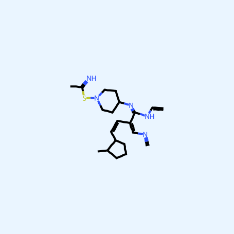 C=CNC(=N/C1CCN(SC(C)=N)CC1)/C(/C=C\C1CCCC1C)=C\N=C